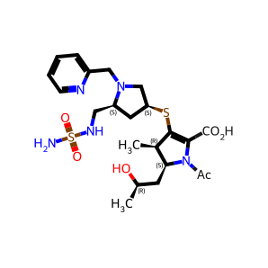 CC(=O)N1C(C(=O)O)=C(S[C@H]2C[C@@H](CNS(N)(=O)=O)N(Cc3ccccn3)C2)[C@H](C)[C@@H]1C[C@@H](C)O